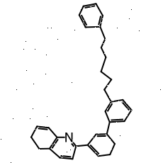 C1=Cc2nc(C3=CCCC(c4cccc(CCCCCCc5ccccc5)c4)=C3)ccc2CC1